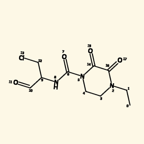 CCN1CCN(C(=O)NC(C=O)CCl)C(=O)C1=O